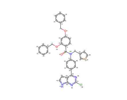 O=C(c1ccc(OCc2ccccc2)cc1OCc1ccccc1)N(Cc1ccsc1)c1ccc(-c2nc(Cl)nc3[nH]ccc23)cc1